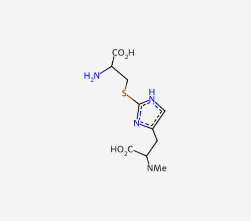 CNC(Cc1c[nH]c(SCC(N)C(=O)O)n1)C(=O)O